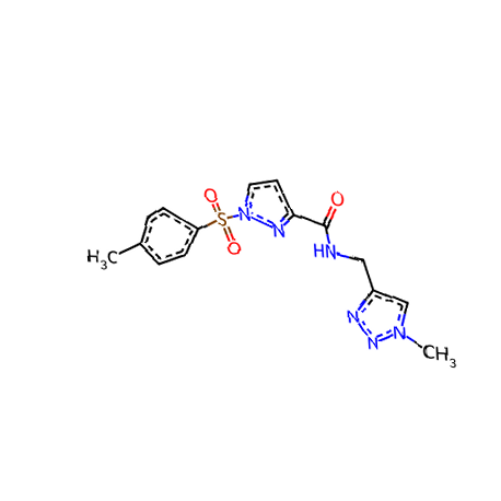 Cc1ccc(S(=O)(=O)n2ccc(C(=O)NCc3cn(C)nn3)n2)cc1